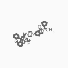 CC(c1ccccc1)N1Cc2ccc(N3CCN(CCCC4(C(=O)NCC(F)(F)F)c5ccccc5Oc5ccccc54)CC3)cc2C1=O